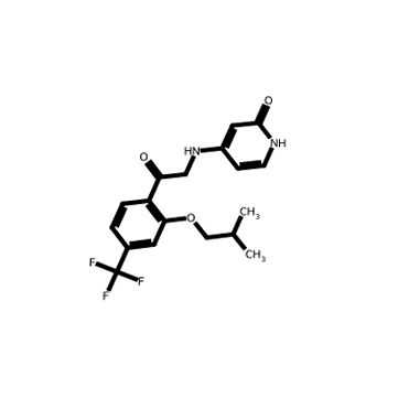 CC(C)COc1cc(C(F)(F)F)ccc1C(=O)CNc1cc[nH]c(=O)c1